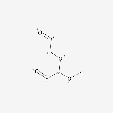 COC(C=O)OCC=O